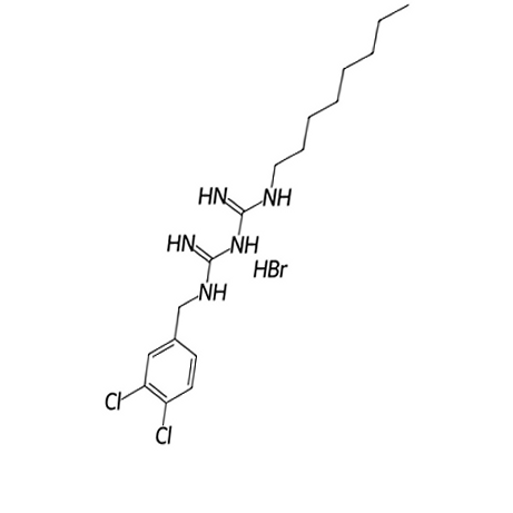 Br.CCCCCCCCNC(=N)NC(=N)NCc1ccc(Cl)c(Cl)c1